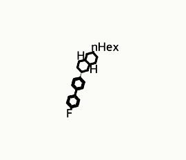 CCCCCCC1CC[C@@H]2C[C@H](c3ccc(-c4ccc(F)cc4)cc3)CC[C@@H]2C1